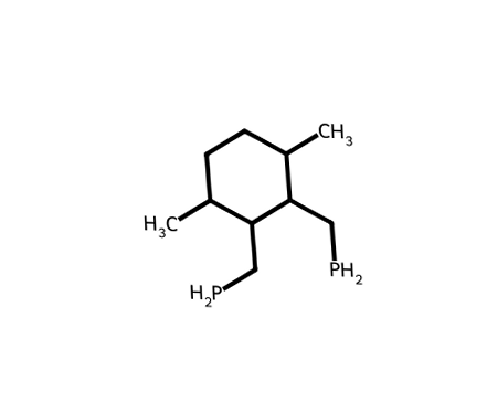 CC1CCC(C)C(CP)C1CP